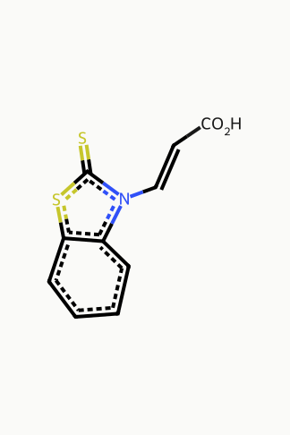 O=C(O)/C=C/n1c(=S)sc2ccccc21